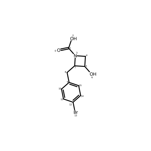 O=C(O)N1CC(O)C1Cc1ccc(Br)cc1